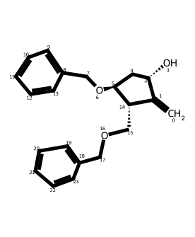 C=C1[C@@H](O)C[C@H](OCc2ccccc2)[C@H]1COCc1ccccc1